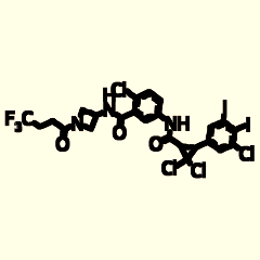 O=C(NC1CN(C(=O)CCC(F)(F)F)C1)c1cc(NC(=O)C2C(c3cc(Cl)c(I)c(I)c3)C2(Cl)Cl)ccc1Cl